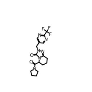 O=C(C1CCCc2nn(Cc3cnc(C(F)(F)F)nc3)c(=O)n21)N1CCCC1